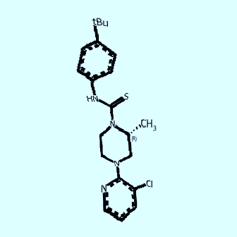 C[C@@H]1CN(c2ncccc2Cl)CCN1C(=S)Nc1ccc(C(C)(C)C)cc1